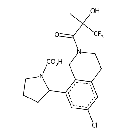 CC(O)(C(=O)N1CCc2cc(Cl)cc(C3CCCN3C(=O)O)c2C1)C(F)(F)F